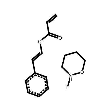 C=CC(=O)OC=Cc1ccccc1.F[SiH]1CCCCO1